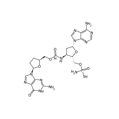 Nc1nc2c(ncn2[C@H]2CC[C@@H](CO[PH](=O)N[C@H]3C[C@H](n4cnc5c(N)ncnc54)O[C@@H]3COP(N)(=O)S)O2)c(=O)[nH]1